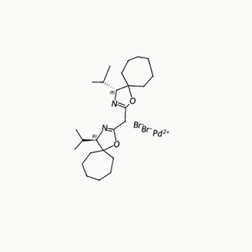 CC(C)[C@H]1N=C(CC2=N[C@H](C(C)C)C3(CCCCCC3)O2)OC12CCCCCC2.[Br-].[Br-].[Pd+2]